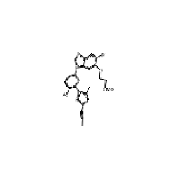 CC#Cc1cc(C)n(-c2nc(-n3cnc4cc(Br)c(OCCOC)cc43)ccc2C(C)=O)n1